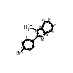 Cn1c(-c2ccc(Br)cc2)nc2ccccc21